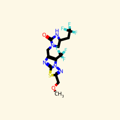 COCc1nn2c(C(F)(F)F)c(CN3CC(CC(F)(F)F)NC3=O)nc2s1